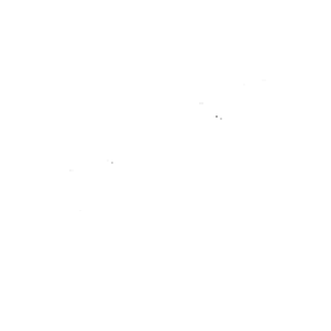 O=C1CCC(N2Cc3c(ccc(-c4cc(CN5CC6COCC6C5)c5ccn(C6C[S+]([O-])C6)c5n4)c3F)C2=O)C(=O)N1